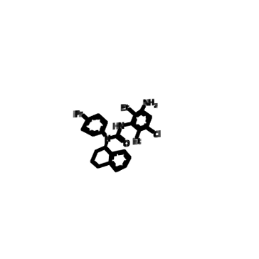 CCc1c(N)cc(Cl)c(CC)c1NC(=O)N(c1ccc(C(C)C)cc1)[C@@H]1CCCc2ccccc21